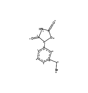 O=C1NC(=O)C(c2cccc(CBr)c2)O1